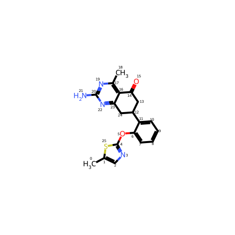 Cc1cnc(Oc2ccccc2C2CC(=O)c3c(C)nc(N)nc3C2)s1